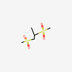 [CH2]C(CS(C)(=O)=O)S(C)(=O)=O